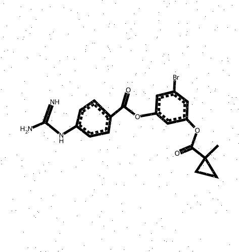 CC1(C(=O)Oc2cc(Br)cc(OC(=O)c3ccc(NC(=N)N)cc3)c2)CC1